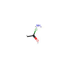 CC(=O)Cl.N